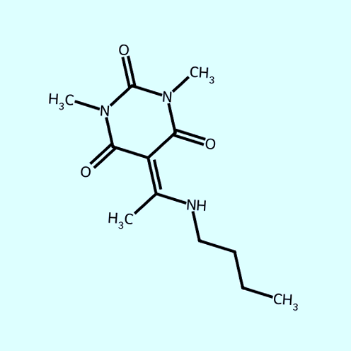 CCCCNC(C)=C1C(=O)N(C)C(=O)N(C)C1=O